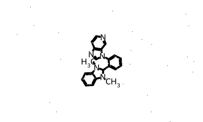 CN1c2ccccc2N(C)C1c1ccccc1-n1cnc2ccncc21